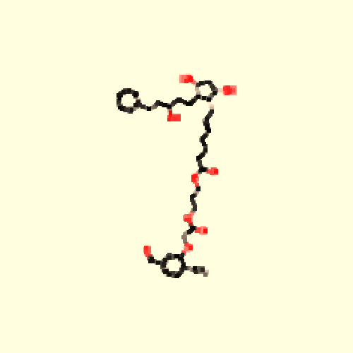 Cc1ccc(C=O)cc1OCC(=O)OCCCOC(=O)CCC/C=C/C[C@@H]1[C@@H](CC[C@@H](O)CCc2ccccc2)[C@H](O)C[C@@H]1O